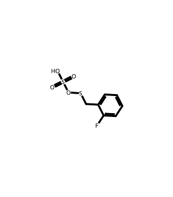 O=S(=O)(O)OSCc1ccccc1F